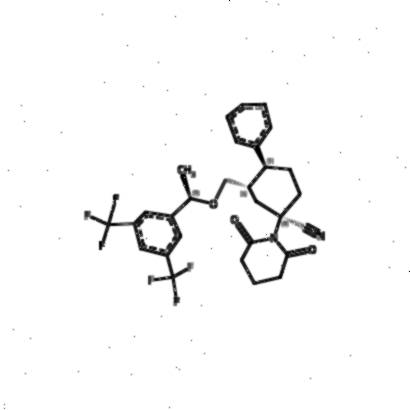 C[C@@H](OC[C@H]1C[C@](C#N)(N2C(=O)CCCC2=O)CC[C@@H]1c1ccccc1)c1cc(C(F)(F)F)cc(C(F)(F)F)c1